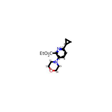 CCOC(=O)c1nc(C2CC2)ccc1N1CCOCC1